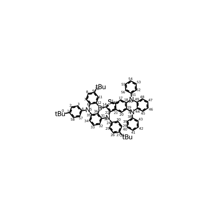 CC(C)(C)c1ccc(N2c3ccc(C(C)(C)C)cc3B3c4sc5cc6c(cc5c4N(c4ccc(C(C)(C)C)cc4)c4cccc2c43)N(c2ccccc2)c2ccccc2N6c2ccccc2)cc1